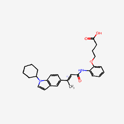 C/C(=C\C(=O)Nc1ccccc1OCCCC(=O)O)c1ccc2c(ccn2C2CCCCC2)c1